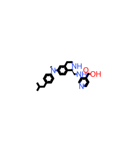 CC(C)Cc1ccc(N(C)c2ccc3c(c2)CCN[C@H]3CNc2cnccc2C(=O)O)cc1